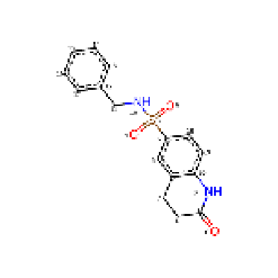 O=C1CCc2cc(S(=O)(=O)NCc3ccccc3)ccc2N1